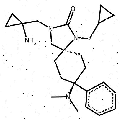 CN(C)[C@]1(c2ccccc2)CC[C@]2(CC1)CN(CC1(N)CC1)C(=O)N2CC1CC1